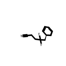 N#CCCC(F)(F)C[C@H]1C=CC=CC1